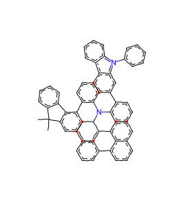 CC1(C)c2ccccc2-c2c(-c3ccccc3N(c3ccccc3-c3ccc4c5ccccc5n(-c5ccccc5)c4c3)C3CC=CC=C3c3cccc4cccc(-c5ccccc5)c34)cccc21